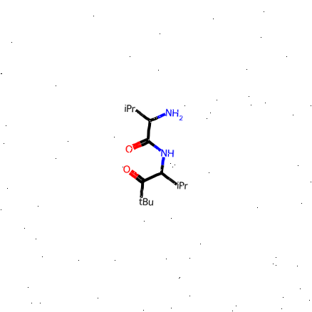 CC(C)C(N)C(=O)NC(C(=O)C(C)(C)C)C(C)C